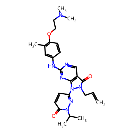 C=CCn1c(=O)c2cnc(Nc3ccc(OCCN(C)C)c(C)c3)nc2n1-c1ccc(=O)n(C(C)C)n1